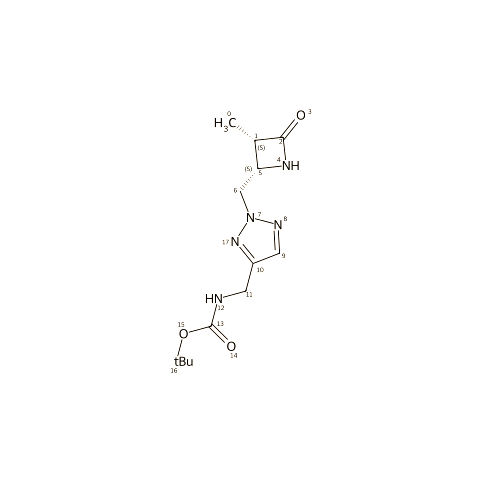 C[C@@H]1C(=O)N[C@@H]1Cn1ncc(CNC(=O)OC(C)(C)C)n1